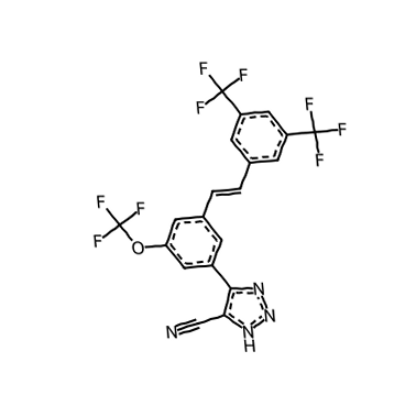 N#Cc1[nH]nnc1-c1cc(/C=C/c2cc(C(F)(F)F)cc(C(F)(F)F)c2)cc(OC(F)(F)F)c1